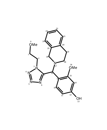 COCCn1nnnc1C(c1ccc(O)cc1OC)N1CCc2ccccc2C1